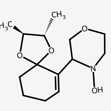 C[C@@H]1OC2(CCCC=C2C2COCCN2O)O[C@H]1C